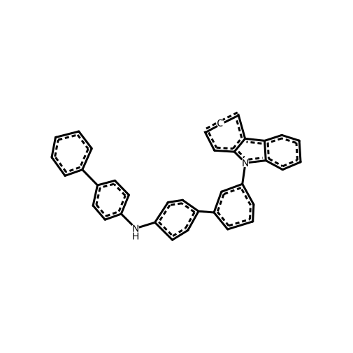 c1ccc(-c2ccc(Nc3ccc(-c4cccc(-n5c6ccccc6c6ccccc65)c4)cc3)cc2)cc1